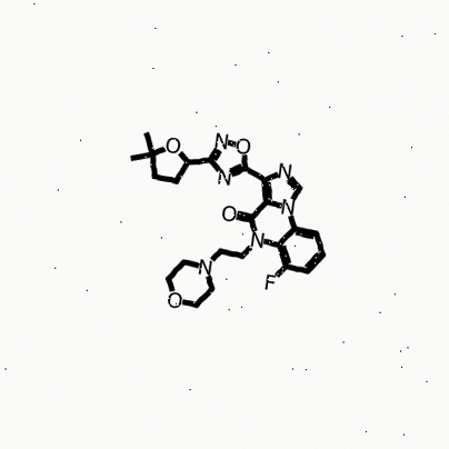 CC1(C)CCC(c2noc(-c3ncn4c3c(=O)n(CCN3CCOCC3)c3c(F)cccc34)n2)O1